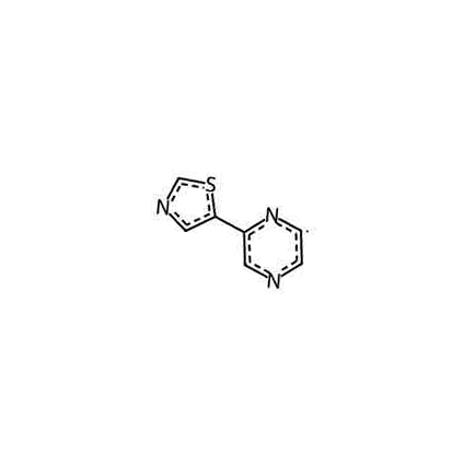 [c]1cncc(-c2cncs2)n1